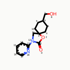 O=C1OC2(CCC(CO)CC2)CN1c1ccccn1